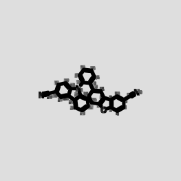 N#Cc1ccc2oc3c(c2c1)C=C(c1ccccc1-n1c2ccccc2c2cc(C#N)ccc21)CC3